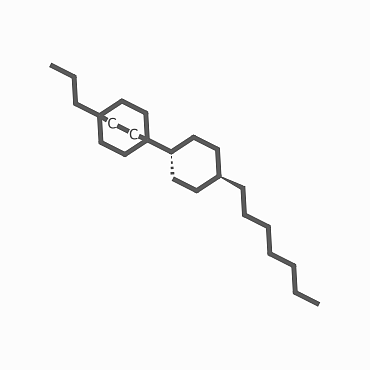 CCCCCCC[C@H]1CC[C@H](C23CCC(CCC)(CC2)CC3)CC1